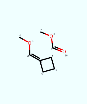 COC=C1CCC1.COC=O